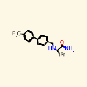 CC(C)C(NCc1ccc(-c2ccc(C(F)(F)F)cc2)cc1)C(N)=O